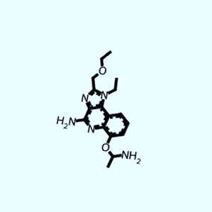 CCOCc1nc2c(N)nc3c(OC(C)N)cccc3c2n1CC